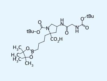 CC(C)(C)OC(=O)NCC(=O)NC1CN(C(=O)OC(C)(C)C)C(CCCCB2OC(C)(C)C(C)(C)O2)(C(=O)O)C1